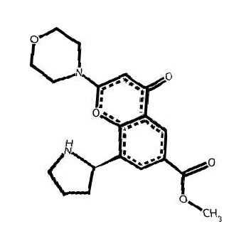 COC(=O)c1cc([C@H]2CCCN2)c2oc(N3CCOCC3)cc(=O)c2c1